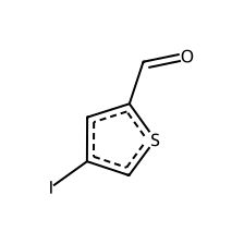 O=Cc1cc(I)cs1